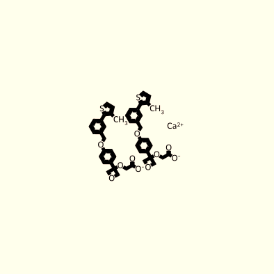 Cc1ccsc1-c1cccc(COc2ccc(C3(OCC(=O)[O-])COC3)cc2)c1.Cc1ccsc1-c1cccc(COc2ccc(C3(OCC(=O)[O-])COC3)cc2)c1.[Ca+2]